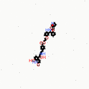 O=C(NC(c1ccccc1)c1cccc(OCCCOC(=O)c2ccc(CCNC[C@@H](O)c3ccc(O)c4[nH]c(=O)ccc34)cc2)c1)O[C@H]1CN2CCC1CC2